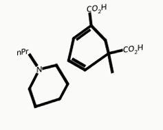 CC1(C(=O)O)C=CC=C(C(=O)O)C1.CCCN1CCCCC1